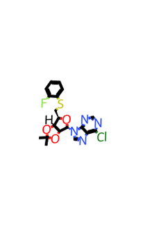 CC1(C)OC2[C@@H](O1)[C@@H](CSc1ccccc1F)O[C@H]2n1cnc2c(Cl)ncnc21